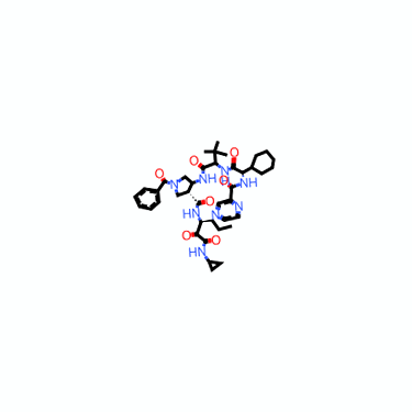 CCC[C@H](NC(=O)[C@@H]1CN(C(=O)c2ccccc2)CC1NC(=O)C(NC(=O)[C@@H](NC(=O)c1cnccn1)C1CCCCC1)C(C)(C)C)C(=O)C(=O)NC1CC1